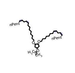 CCCCC/C=C\C/C=C\CCCCCCCCO[C@@H]1C[C@@H](ON(C)C)C[C@@H]1OCCCCCCC/C=C\C/C=C\CCCCC